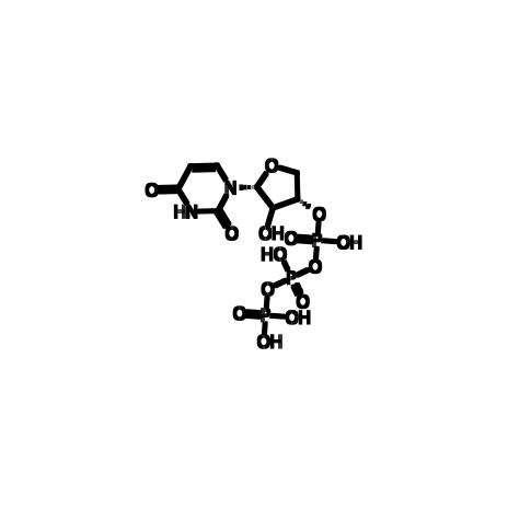 O=c1ccn([C@@H]2OC[C@H](OP(=O)(O)OP(=O)(O)OP(=O)(O)O)C2O)c(=O)[nH]1